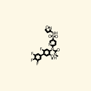 CNC(=O)N(c1ccc(S(=O)(=O)Nc2ccon2)cn1)c1cc(F)c(-c2cc(F)c(F)c(F)c2)cc1OC